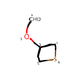 O=COC1CSC1